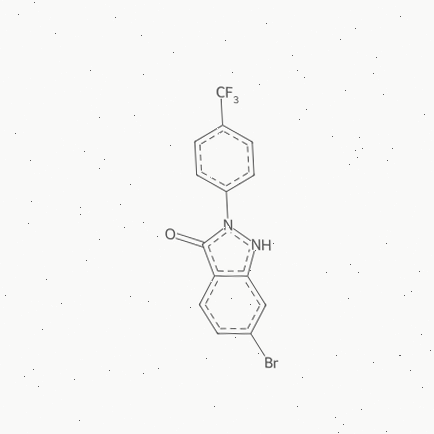 O=c1c2ccc(Br)cc2[nH]n1-c1ccc(C(F)(F)F)cc1